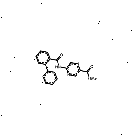 COC(=O)c1cnc(NC(=O)c2ccccc2-c2ccccc2)cn1